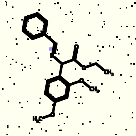 CCOC(=O)C(/N=C/c1ccccc1)c1ccc(OC)cc1OC